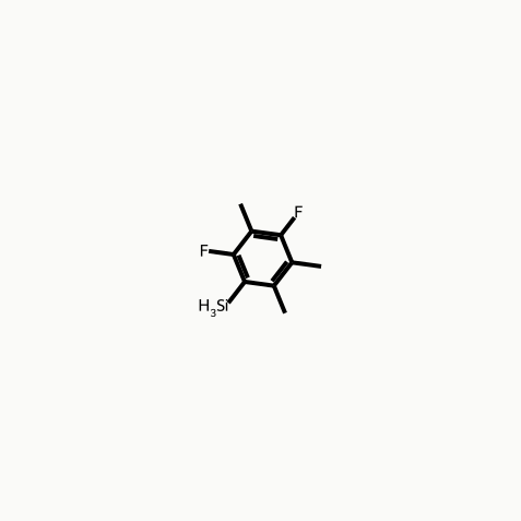 Cc1c(C)c([SiH3])c(F)c(C)c1F